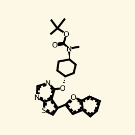 CN(C(=O)OC(C)(C)C)[C@H]1CC[C@H](Oc2ncnc3scc(-c4cc5ccccc5o4)c23)CC1